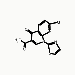 CC(=O)c1cn(-c2nccs2)c2nc(Cl)ccc2c1=O